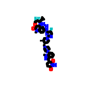 C[C@@H]1CN(c2ncc(F)c(Nc3ccc4c(c3)c3c(c(=O)n4C)OCC(F)(F)C(C4CC4)N3)n2)CC[C@@H]1CN1CCN(c2cccc3c(C4CCC(=O)NC4=O)nn(C)c23)CC1